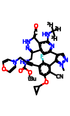 [2H]C([2H])([2H])Nc1nc(-c2cnn(C)c2-c2c(F)c(C#CCN3C=COC=C3)cc(OC3CC3)c2C#N)cc2c1C(=C=O)NN=C2CNC(=O)OC(C)(C)C